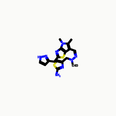 Cc1c(/C=N\N(C=O)Cc2csc(N)n2)c2sc(Cc3cc[nH]n3)nc2n1C